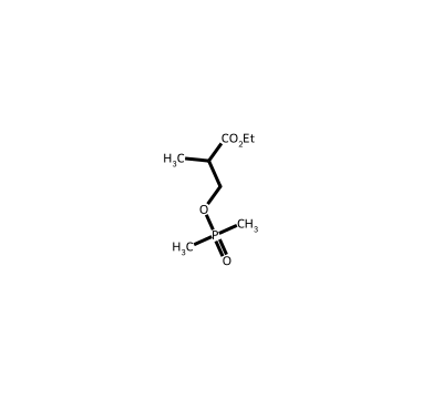 CCOC(=O)C(C)COP(C)(C)=O